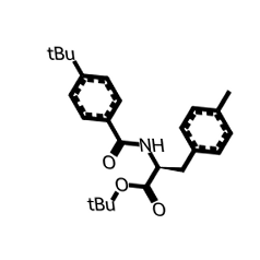 Cc1ccc(C[C@H](NC(=O)c2ccc(C(C)(C)C)cc2)C(=O)OC(C)(C)C)cc1